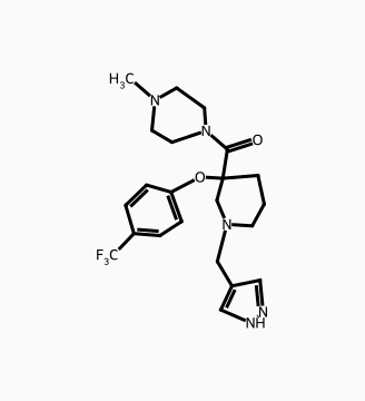 CN1CCN(C(=O)C2(Oc3ccc(C(F)(F)F)cc3)CCCN(Cc3cn[nH]c3)C2)CC1